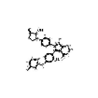 C=C1CCN(c2ccc(-c3c(-c4ccc(Oc5nccc(C)n5)cc4)c4c(N)ncnc4n3C)cc2)C1O